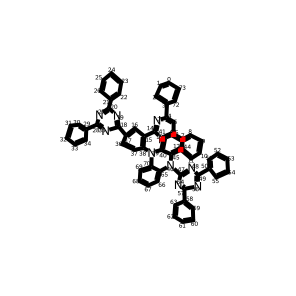 c1ccc(-c2cc(-c3ccccc3)nc(-c3cc(-c4nc(-c5ccccc5)nc(-c5ccccc5)n4)ccc3N3c4ccccc4N(c4nc(-c5ccccc5)nc(-c5ccccc5)n4)c4ccccc43)n2)cc1